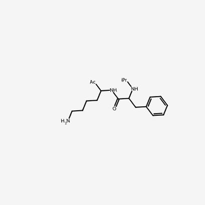 CC(=O)C(CCCCN)NC(=O)C(Cc1ccccc1)NC(C)C